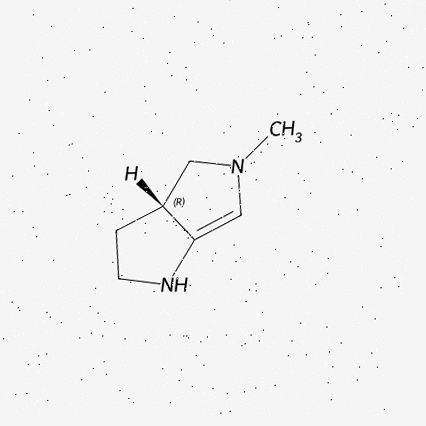 CN1C=C2NCC[C@@H]2C1